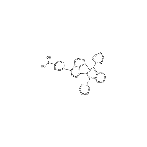 OB(O)c1ccc(-c2ccc3c4c(cccc24)-c2c-3c(-c3ccccc3)c3ccccc3c2-c2ccccc2)cc1